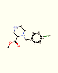 COC(=O)C1CNCCN1Cc1ccc(Cl)cc1